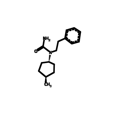 C[C@H]1CC[C@H](N(CCc2ccccc2)C(N)=O)CC1